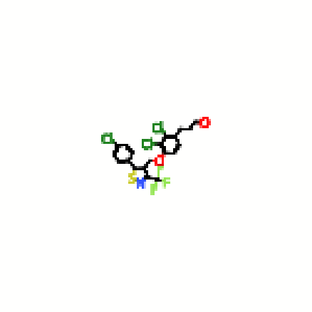 O=CCCc1ccc(OCc2c(C(F)(F)F)nsc2-c2ccc(Cl)cc2)c(Cl)c1Cl